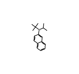 CC(C)N(c1ccc2ccccc2c1)C(C)(C)C